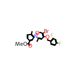 COC(=O)c1ccc(C)c(N2OCC(Br)=C(OCc3ccc(F)cc3F)C=C2C)c1